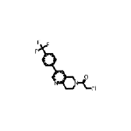 O=C(CCl)N1CCc2ncc(-c3ccc(C(F)(F)F)cc3)cc2C1